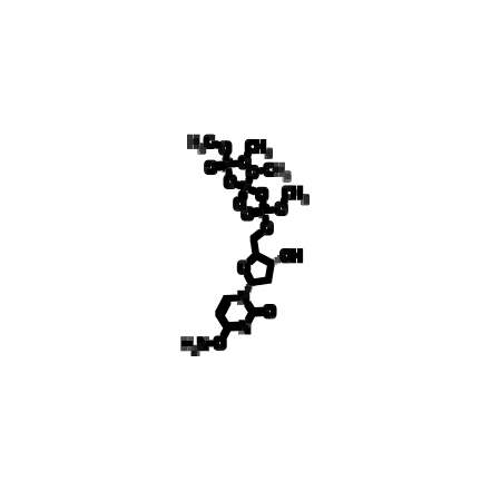 COP(=O)(OC)OP(=O)(OC)OP(=O)(OC)OCC1O[C@@H](n2ccc(ON)nc2=O)C[C@H]1O